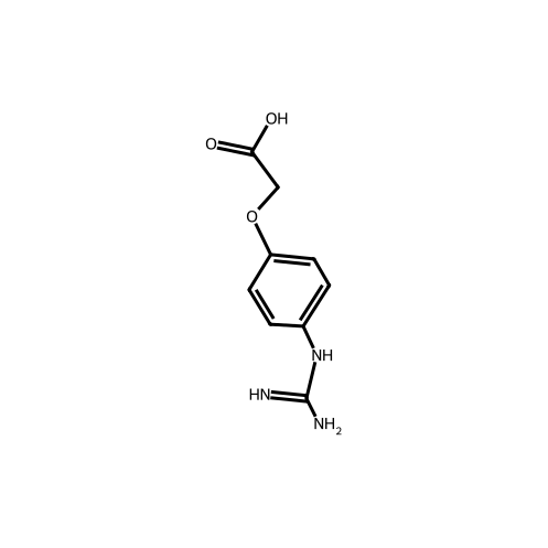 N=C(N)Nc1ccc(OCC(=O)O)cc1